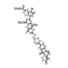 CNC(=O)N1CCc2c(-c3cc(OC)c(CN4[C@H](C)CN(CCC5CCN(c6ccc7c(c6)C(=O)N(C6CCC(=O)NC6=O)C7=O)CC5)C[C@@H]4C)c(OC)c3)cn(C)c(=O)c2C1